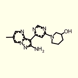 Cc1cnc2c(-c3cc(N4CCCC(O)C4)ncn3)c(N)nn2c1